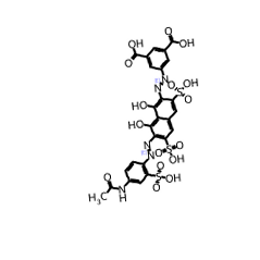 CC(=O)Nc1ccc(/N=N/c2c(S(=O)(=O)O)cc3cc(S(=O)(=O)O)c(/N=N/c4cc(C(=O)O)cc(C(=O)O)c4)c(O)c3c2O)c(S(=O)(=O)O)c1